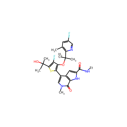 CCNC(=O)c1cc2c(-c3sc(C(C)(C)O)c(F)c3OC(C)(C)c3ncc(F)cc3C)cn(C)c(=O)c2[nH]1